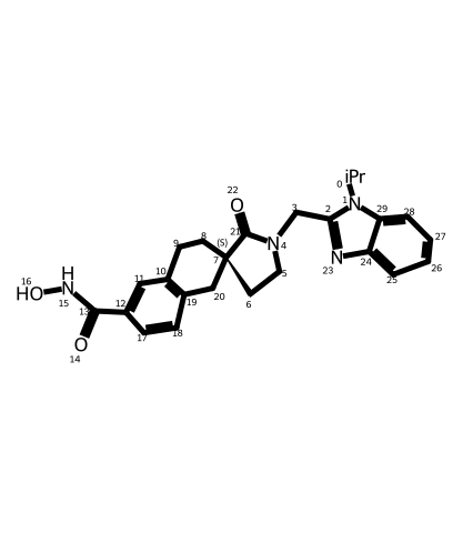 CC(C)n1c(CN2CC[C@@]3(CCc4cc(C(=O)NO)ccc4C3)C2=O)nc2ccccc21